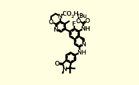 Cc1c(-c2cc3cc(Nc4ccc5c(c4)C(C)(C)N(C)C5=O)ncc3c(NC(=O)OC(C)(C)C)c2F)cnc2c1N(C(=O)O)CCO2